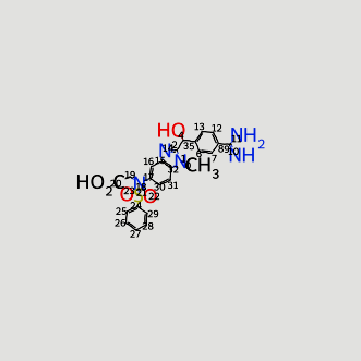 Cn1c(C(O)c2ccc(C(=N)N)cc2)nc2cc(N(CC(=O)O)S(=O)(=O)c3ccccc3)ccc21